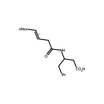 CCCCCC/C=C/CC(=O)NC(CC(=O)O)CC(C)C